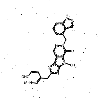 CN/C=C(\C=C/C=O)Cc1nc2c(s1)c1cnn(Cc3cccc4[nH]ncc34)c(=O)c1n2C